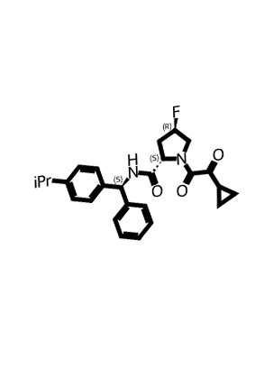 CC(C)c1ccc([C@@H](NC(=O)[C@@H]2C[C@@H](F)CN2C(=O)C(=O)C2CC2)c2ccccc2)cc1